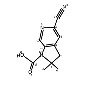 CC1(C)Cc2cc(C#N)ncc2N1C(=O)O